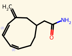 C=C1/C=C\C=C/CCC(CC(N)=O)C1